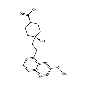 COc1cnc2cccc(CC[C@]3(O)CC[C@@H](C(=O)O)CC3)c2c1